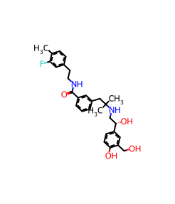 Cc1ccc(CCNC(=O)c2cccc(CC(C)(C)NC[C@H](O)c3ccc(O)c(CO)c3)c2)cc1F